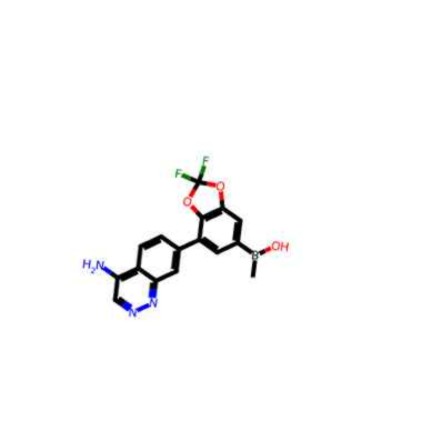 CB(O)c1cc2c(c(-c3ccc4c(N)cnnc4c3)c1)OC(F)(F)O2